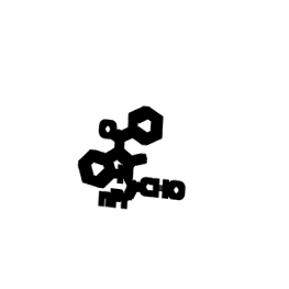 CCCC(C=O)n1c(C)c(C(=O)c2ccccc2)c2ccccc21